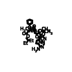 CCC(CC)COC(=O)[C@H](C)N[P@](=O)(OCC1O[C@@](C#N)(c2ccc3c(N)ncnn23)[C@@H]2OC(C)(C)O[C@H]12)Oc1ccccc1